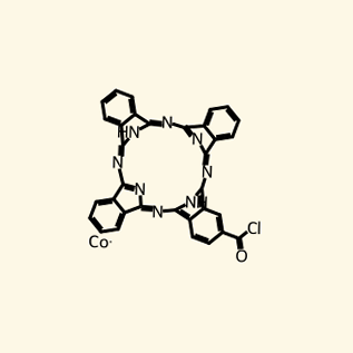 O=C(Cl)c1ccc2c3nc4nc(nc5[nH]c(nc6nc(nc([nH]3)c2c1)-c1ccccc1-6)c1ccccc51)-c1ccccc1-4.[Co]